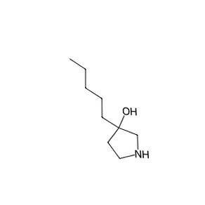 CCCCCC1(O)CCNC1